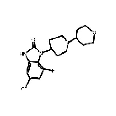 O=c1[nH]c2cc(Cl)cc(F)c2n1C1CCN(C2CCOCC2)CC1